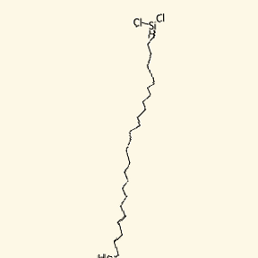 OCCCCCCCCCCCCCCCCCCCCCCCCC[SiH](Cl)Cl